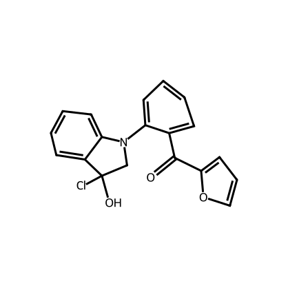 O=C(c1ccco1)c1ccccc1N1CC(O)(Cl)c2ccccc21